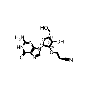 N#CCCO[C@@H]1[C@H](O)[C@@H](CO)O[C@H]1n1cnc2c(=O)[nH]c(N)nc21